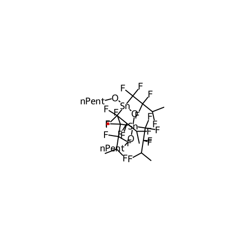 CCCCC[O][Sn]([O][Sn]([O]CCCCC)([C](F)(F)C(F)(F)C(C)F)[C](F)(F)C(F)(F)C(C)F)([C](F)(F)C(F)(F)C(C)F)[C](F)(F)C(F)(F)C(C)F